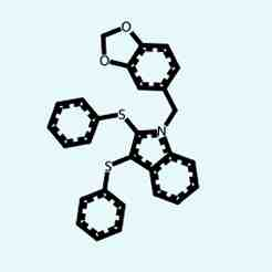 c1ccc(Sc2c(Sc3ccccc3)n(Cc3ccc4c(c3)OCO4)c3ccccc23)cc1